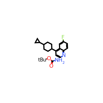 CC(C)(C)OC(N)=O.Fc1ccc2nccc(C3CCC(C4CC4)CC3)c2c1